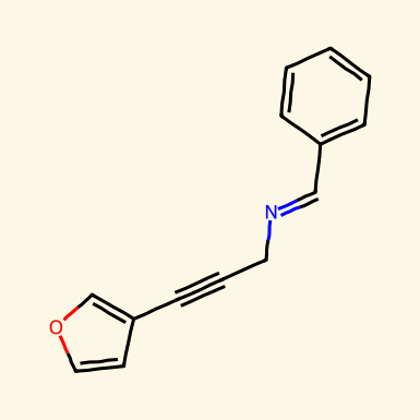 C(#Cc1ccoc1)CN=Cc1ccccc1